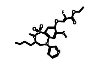 CCCCC1CN(c2cccnc2)c2cc(SC)c(O/C=C(\F)C(=O)OCC)cc2S(=O)(=O)N1C